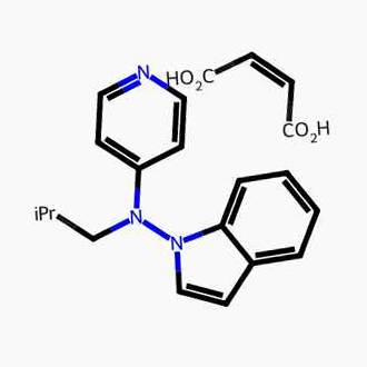 CC(C)CN(c1ccncc1)n1ccc2ccccc21.O=C(O)/C=C\C(=O)O